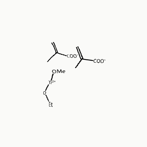 C=C(C)C(=O)[O-].C=C(C)C(=O)[O-].CC[O][Ti+2][O]C